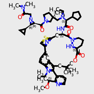 CCN(C[C@]1(C)CCN(C(=O)[C@H]2[C@@H](C3CC3)N2CC(=O)N(C)C)C1)[C@H](C(=O)N[C@H]1Cc2nc(cs2)-c2ccc3c(c2)c(c(-c2cccnc2[C@H](C)OC)n3CC)CC(C)(C)COC(=O)[C@@H]2CCCN(N2)C1=O)C1CCCC1